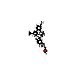 Cn1cnnc1-c1cc(C#N)ccc1-c1cc(C2CC2)nc(N2Cc3ccc(CNCC45CC(C4)C5)cc3C2=O)c1